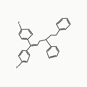 Fc1ccc(C(=CCC(CCc2ccccc2)c2ccccc2)c2ccc(F)cc2)cc1